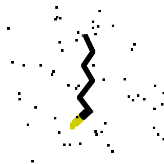 [CH2]CCCC[C]=S